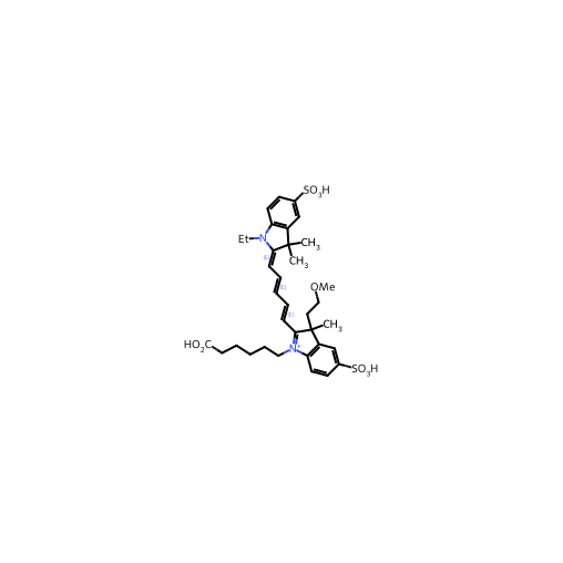 CCN1/C(=C/C=C/C=C/C2=[N+](CCCCCC(=O)O)c3ccc(S(=O)(=O)O)cc3C2(C)CCOC)C(C)(C)c2cc(S(=O)(=O)O)ccc21